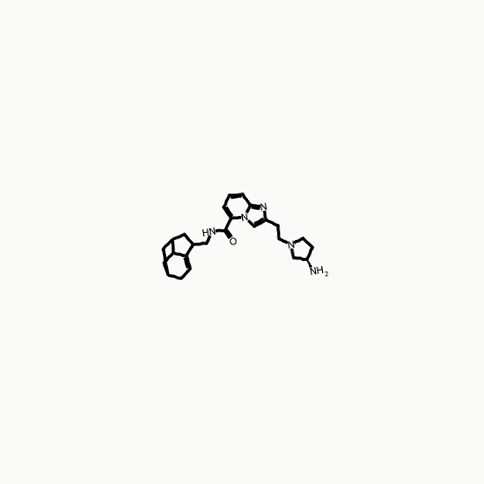 N[C@@H]1CCN(CCc2cn3c(C(=O)NCC4CC5CC6CC=C4C5C6)cccc3n2)C1